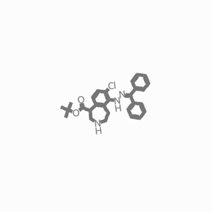 CC(C)(C)OC(=O)C1CNCCc2c1ccc(Cl)c2NN=C(c1ccccc1)c1ccccc1